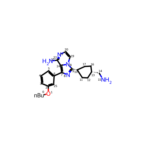 CCCCOc1cccc(-c2nc([C@H]3CC[C@@H](CN)CC3)n3ccnc(N)c23)c1